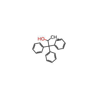 CC(O)C(c1ccccc1)(c1ccccc1)c1ccccc1